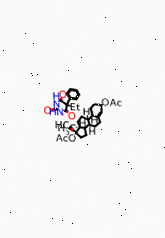 C#C[C@]1(OC(C)=O)CC[C@H]2[C@@H]3CCC4=C[C@@H](OC(C)=O)CC[C@@H]4[C@H]3CC[C@@]21C.CCC1(c2ccccc2)C(=O)NC(=O)NC1=O